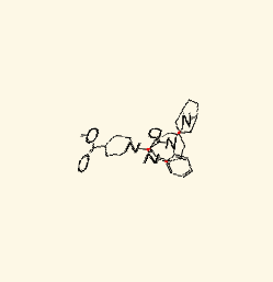 COC(=O)C1CCN(c2nc3ccccc3n(C3CC4CCC(C3)N4C3CCCCCCC3)c2=O)CC1